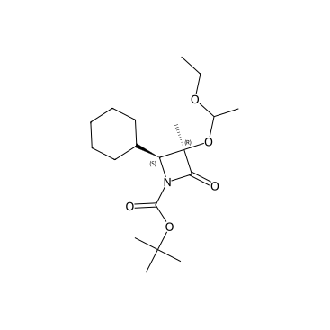 CCOC(C)O[C@@]1(C)C(=O)N(C(=O)OC(C)(C)C)[C@H]1C1CCCCC1